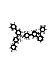 C1=CCC(C2=CC(c3ccc(-c4ccccc4)cc3)C(Nc3ccc(C4=CC5c6ccccc6N(c6ccccc6)C5C=C4)cc3)C=C2)C=C1